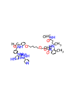 Cc1cccc(NC(=O)COCCOCCCCCCOc2cccc([C@@H](C)NC(=O)c3cccc(NC4(C(=N)NC(=N)c5ccncc5)CCNCC4)c3)c2)c1CN(C=O)C(C)CCC(=O)NC=O